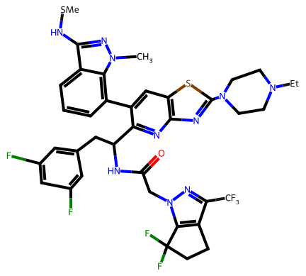 CCN1CCN(c2nc3nc(C(Cc4cc(F)cc(F)c4)NC(=O)Cn4nc(C(F)(F)F)c5c4C(F)(F)CC5)c(-c4cccc5c(NSC)nn(C)c45)cc3s2)CC1